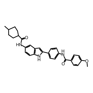 COc1ccc(C(=O)Nc2ccc(-c3cc4cc(NC(=O)C5CCC(C)CC5)ccc4[nH]3)cc2)cc1